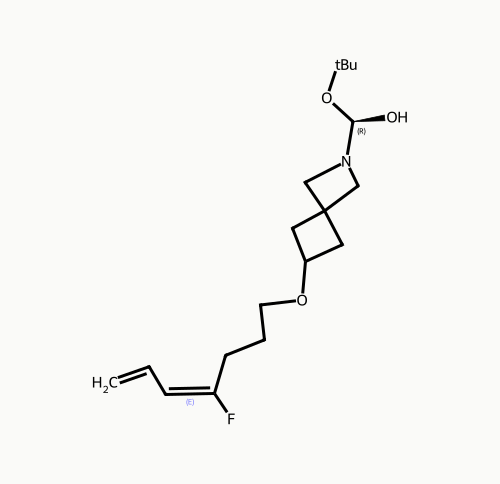 C=C/C=C(/F)CCCOC1CC2(C1)CN([C@H](O)OC(C)(C)C)C2